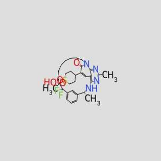 Cc1nc2c3cc(C4CCS(=O)(=O)CC4)c(=O)n(c3n1)CCCCCCCC(C)(O)C(F)(F)c1cccc(c1)[C@@H](C)N2